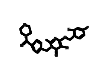 Cc1nc(OCc2ccc(F)cc2F)c(Br)c(=O)n1Cc1ccc(C(=O)N2CCOCC2)cc1